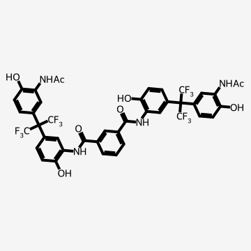 CC(=O)Nc1cc(C(c2ccc(O)c(NC(=O)c3cccc(C(=O)Nc4cc(C(c5ccc(O)c(NC(C)=O)c5)(C(F)(F)F)C(F)(F)F)ccc4O)c3)c2)(C(F)(F)F)C(F)(F)F)ccc1O